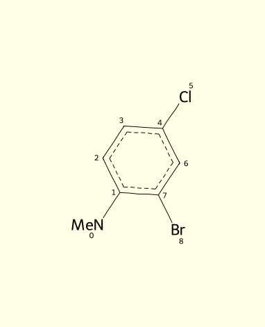 CNc1ccc(Cl)cc1Br